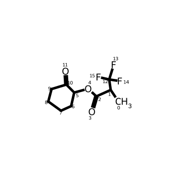 CC(C(=O)OC1CCCCC1=O)C(F)(F)F